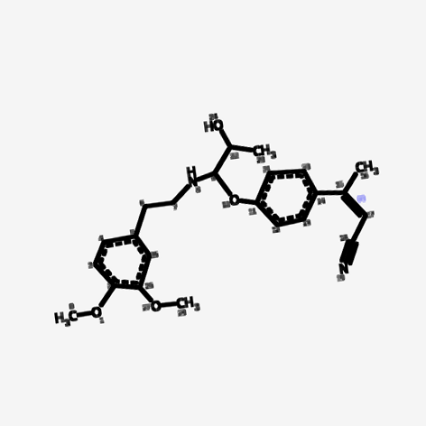 COc1ccc(CCNC(Oc2ccc(/C(C)=C\C#N)cc2)C(C)O)cc1OC